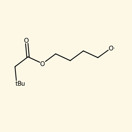 CC(C)(C)CC(=O)OCCCC[O]